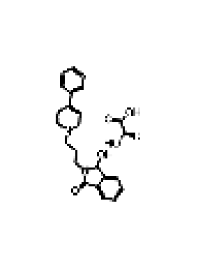 O=C(O)C(=O)O.O=C1c2ccccc2C(O)N1CCCN1CC=C(c2ccccc2)CC1